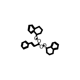 C(=CC(OOC1CCCc2ccccc21)OOC1CCCc2ccccc21)c1ccccc1